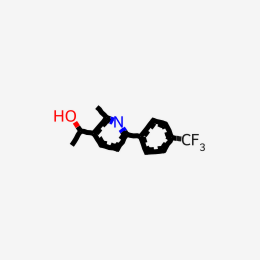 Cc1nc(-c2ccc(C(F)(F)F)cc2)ccc1C(C)O